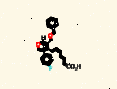 O=C(O)CCC/C=C\C[C@@H]1[C@@H](COCc2ccccc2)[C@H]2C[C@]1(c1ccc(F)cc1)CO2